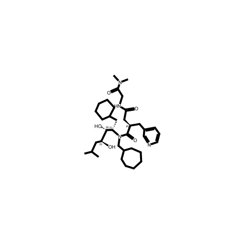 CC(C)C[C@H](O)[C@H](O)[C@H](CC1CCCCC1)N(CC1CCCCCC1)C(=O)[C@@H](CC(=O)NCC(=O)N(C)C)Cc1cccnc1